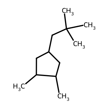 CC1CC(CC(C)(C)C)CC1C